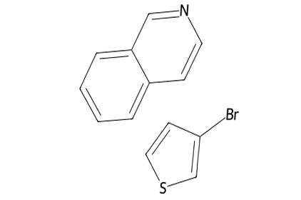 Brc1ccsc1.c1ccc2cnccc2c1